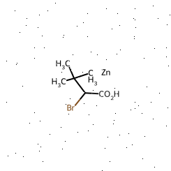 CC(C)(C)C(Br)C(=O)O.[Zn]